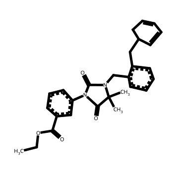 CCOC(=O)c1cccc(N2C(=O)N(Cc3ccccc3CC3C=CC=CC3)C(C)(C)C2=O)c1